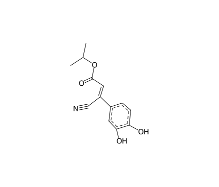 CC(C)OC(=O)C=C(C#N)c1ccc(O)c(O)c1